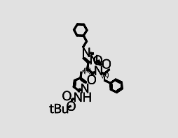 CC(C)(C)OC(=O)Nc1ccc(C[C@@H](C(=O)N2C(=O)OC[C@H]2Cc2ccccc2)c2cn(CCC3CCCCC3)cn2)cn1